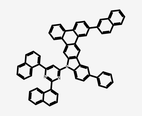 c1ccc(-c2ccc3c(c2)c2cc4c5cc(-c6ccc7ccccc7c6)ccc5c5ccccc5c4cc2n3-c2cc(-c3cccc4ccccc34)nc(-c3cccc4ccccc34)n2)cc1